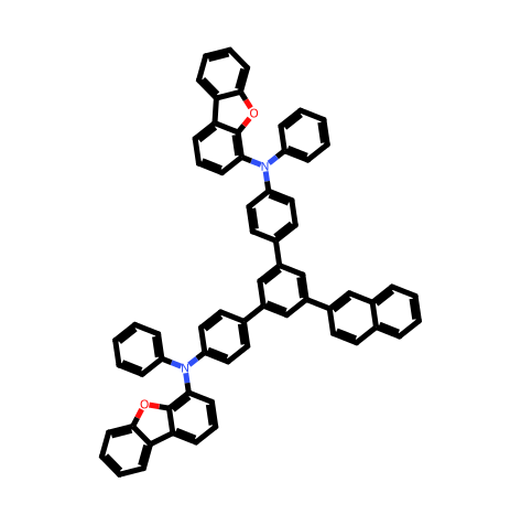 c1ccc(N(c2ccc(-c3cc(-c4ccc(N(c5ccccc5)c5cccc6c5oc5ccccc56)cc4)cc(-c4ccc5ccccc5c4)c3)cc2)c2cccc3c2oc2ccccc23)cc1